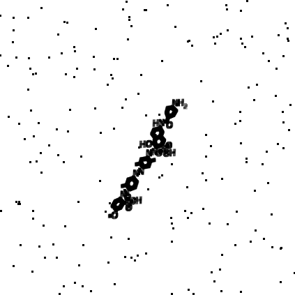 COc1ccc(N=Nc2ccc(N=Nc3cc(C)c(N=Nc4c(S(=O)(=O)O)cc5cc(NC(=O)c6ccc(N)cc6)ccc5c4O)cc3C)cc2C)c(S(=O)(=O)O)c1